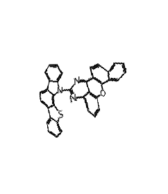 c1ccc2c3c(ccc2c1)-c1nc(-n2c4ccccc4c4ccc5c6ccccc6sc5c42)nc2cccc(c12)O3